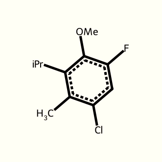 COc1c(F)cc(Cl)c(C)c1C(C)C